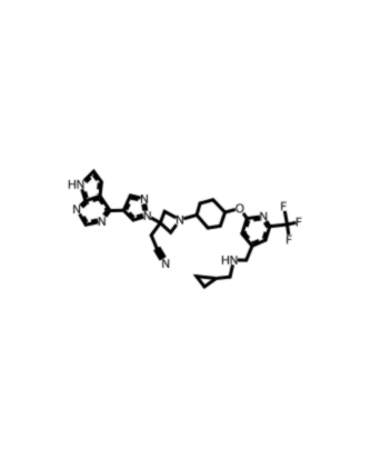 N#CCC1(n2cc(-c3ncnc4[nH]ccc34)cn2)CN(C2CCC(Oc3cc(CNCC4CC4)cc(C(F)(F)F)n3)CC2)C1